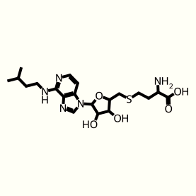 CC(C)CCNc1nccc2c1ncn2C1OC(CSCCC(N)C(=O)O)C(O)C1O